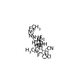 Cc1nc2c(F)c(-c3cccc(Cl)c3Cl)c(CCC#N)cc2c2c1cc([C@H]1[C@H]3C[C@H](CN(c4cc(C(C)(F)F)ncn4)C3)N1C(=O)C1(F)CC1)n2[C@H]1[C@H]2CN[C@@H]1C2